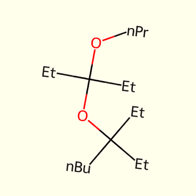 CCCCC(CC)(CC)OC(CC)(CC)OCCC